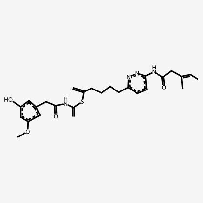 C=C(CCCCc1ccc(NC(=O)C/C(C)=C/C)nn1)SC(=C)NC(=O)Cc1cc(O)cc(OC)c1